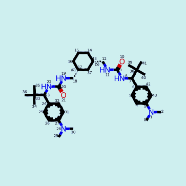 CN(C)c1ccc(C(NC(=O)NC[C@H]2CCC[C@@H](CNC(=O)NC(c3ccc(N(C)C)cc3)C(C)(C)C)C2)C(C)(C)C)cc1